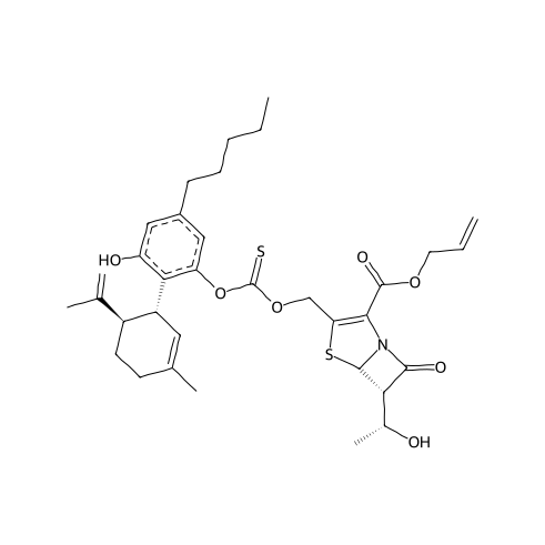 C=CCOC(=O)C1=C(COC(=S)Oc2cc(CCCCC)cc(O)c2[C@@H]2C=C(C)CC[C@H]2C(=C)C)SC2[C@@H]([C@@H](C)O)C(=O)N12